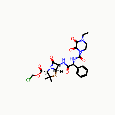 CCN1CCN(C(=O)NC(C(=O)N[C@@H]2C(=O)N3[C@@H]2SC(C)(C)[C@@H]3C(=O)OCCl)c2ccccc2)C(=O)C1=O